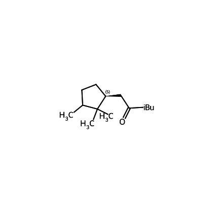 CCC(C)C(=O)C[C@@H]1CCC(C)C1(C)C